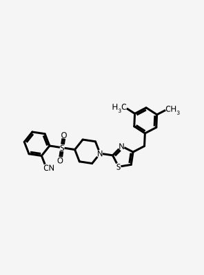 Cc1cc(C)cc(Cc2csc(N3CCC(S(=O)(=O)c4ccccc4C#N)CC3)n2)c1